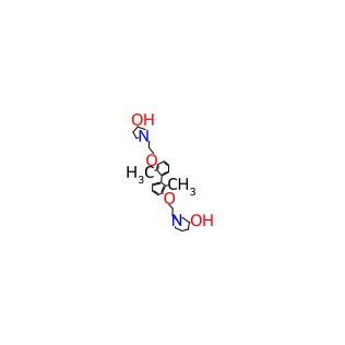 Cc1c(OCCCN2CCCC(O)C2)cccc1-c1cccc(OCCCN2CCC(O)C2)c1C